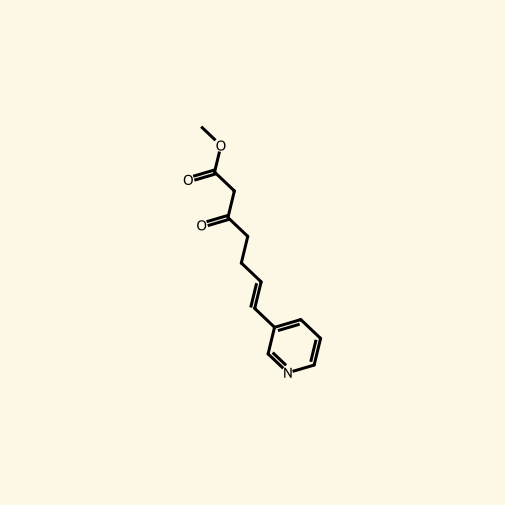 COC(=O)CC(=O)CC/C=C/c1cccnc1